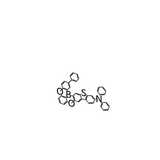 c1ccc(-c2ccc3c(c2)B2c4cc5sc6cc(N(c7ccccc7)c7ccccc7)ccc6c5cc4Oc4cccc(c42)O3)cc1